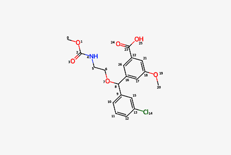 COC(=O)NCCOC(c1cccc(Cl)c1)c1cc(OC)cc(C(=O)O)c1